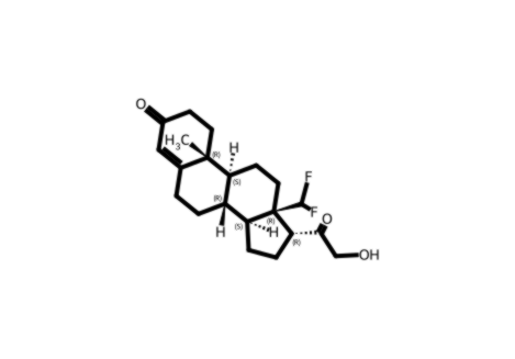 C[C@]12CCC(=O)C=C1CC[C@H]1[C@@H]3CC[C@@H](C(=O)CO)[C@@]3(C(F)F)CC[C@@H]12